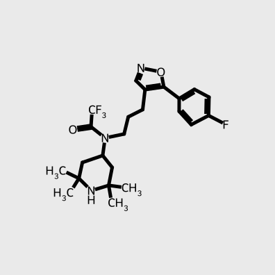 CC1(C)CC(N(CCCc2cnoc2-c2ccc(F)cc2)C(=O)C(F)(F)F)CC(C)(C)N1